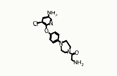 NCC(=O)N1CCN(c2ccc(Oc3ncc(N)cc3Cl)cc2)CC1